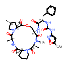 CCCN1C(=O)[C@@H](NC(=O)[C@H](Cc2ccccc2)NC(=O)Nc2cc(C(C)(C)C)on2)COC(=O)[C@@H]2C[C@@H](C)CN2C(=O)[C@H](C)NC(=O)[C@@H]2CCCCN2C(=O)[C@@H]1C